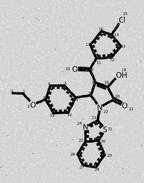 CCOc1ccc(C2C(C(=O)c3ccc(Cl)cc3)=C(O)C(=O)N2c2nc3ccccc3s2)cc1